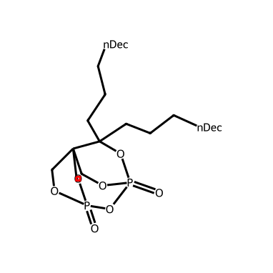 CCCCCCCCCCCCCC1(CCCCCCCCCCCCC)OP2(=O)OCC13COP(=O)(OC3)O2